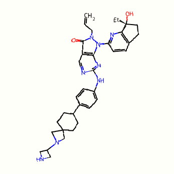 C=CCn1c(=O)c2cnc(Nc3ccc(C4CCC5(CC4)CN(C4CNC4)C5)cc3)nc2n1-c1ccc2c(n1)[C@@](O)(CC)CC2